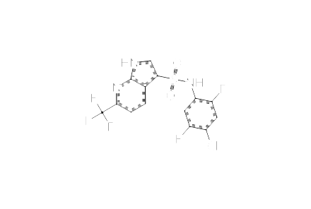 O=S(=O)(Nc1cc(F)c(Cl)cc1F)c1c[nH]c2nc(C(F)(F)F)ccc12